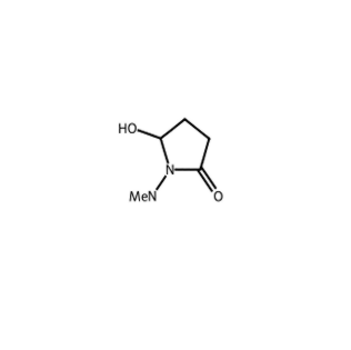 CNN1C(=O)CCC1O